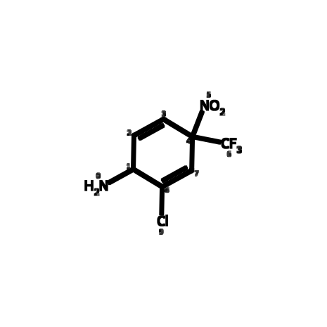 NC1C=CC([N+](=O)[O-])(C(F)(F)F)C=C1Cl